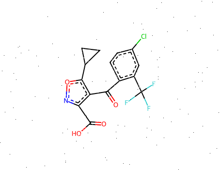 O=C(O)c1noc(C2CC2)c1C(=O)c1ccc(Cl)cc1C(F)(F)F